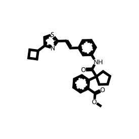 COC(=O)c1ccccc1C1(C(=O)Nc2cccc(/C=C/c3nc(C4CCC4)cs3)c2)CCCC1